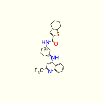 O=C(N[C@@H]1CCC[C@H](Nc2cc(C(F)(F)F)nc3ccccc23)C1)c1cc2c(s1)CCCC2